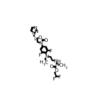 CCN(CCNN(C)C(=O)OCC(F)F)c1c(F)cc(N2C[C@H](Cn3ccnn3)OC2=O)cc1F